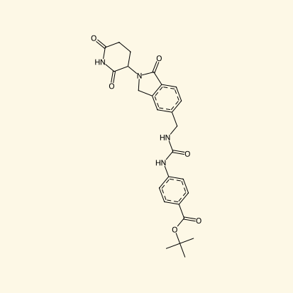 CC(C)(C)OC(=O)c1ccc(NC(=O)NCc2ccc3c(c2)CN(C2CCC(=O)NC2=O)C3=O)cc1